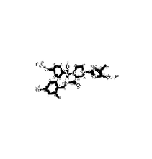 Cc1cc(C(C)C)ccc1CNC(=O)[C@H]1CN(c2nc(C)c(C(=O)O)s2)CCN1S(=O)(=O)c1ccc(OC(F)(F)F)cc1